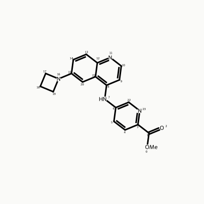 COC(=O)c1ccc(Nc2ccnc3ccc(N4CCC4)cc23)cn1